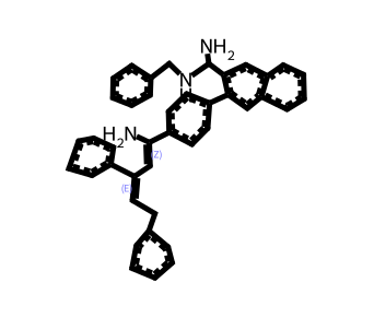 N/C(=C\C(=C/Cc1ccccc1)c1ccccc1)c1ccc(-c2cc3ccccc3cc2C(N)NCc2ccccc2)cc1